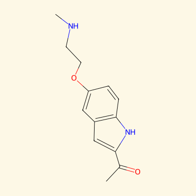 CNCCOc1ccc2[nH]c(C(C)=O)cc2c1